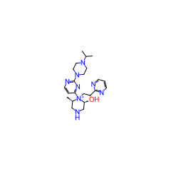 CC(C)N1CCN(c2nccc([N+]3(C[C@@H](O)c4ncccn4)[C@H](C)CNC[C@@H]3C)n2)CC1